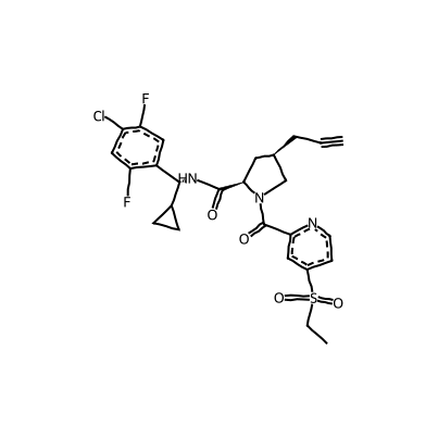 C#CC[C@@H]1C[C@H](C(=O)N[C@@H](c2cc(F)c(Cl)cc2F)C2CC2)N(C(=O)c2cc(S(=O)(=O)CC)ccn2)C1